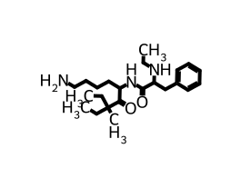 CCNC(Cc1ccccc1)C(=O)NC(CCCCN)C(=O)C(C)(CC)CC